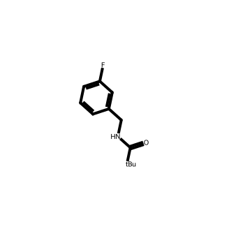 CC(C)(C)C(=O)NCc1[c]ccc(F)c1